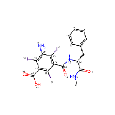 CNC(=O)[C@H](Cc1ccccc1)NC(=O)c1c(I)c(N)c(I)c(C(=O)O)c1I